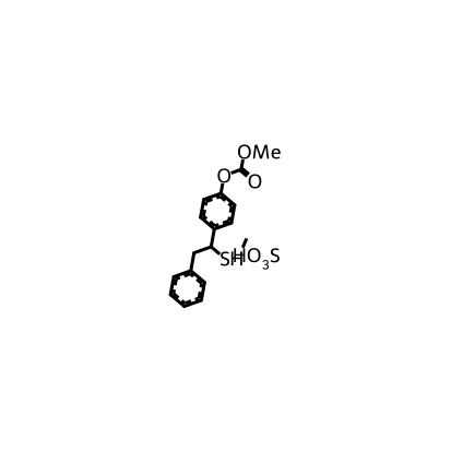 COC(=O)Oc1ccc(C(S)Cc2ccccc2)cc1.CS(=O)(=O)O